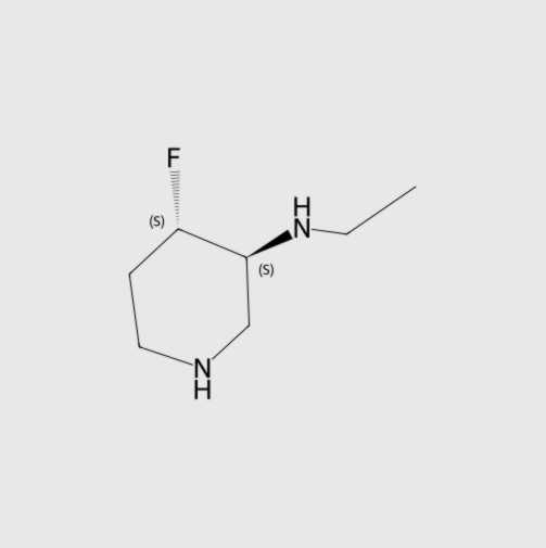 CCN[C@H]1CNCC[C@@H]1F